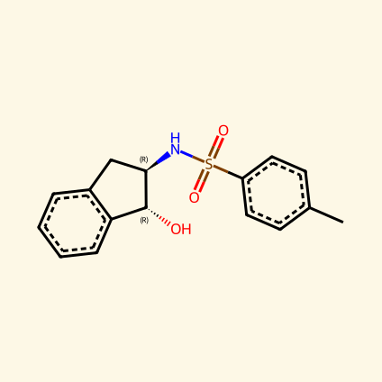 Cc1ccc(S(=O)(=O)N[C@@H]2Cc3ccccc3[C@H]2O)cc1